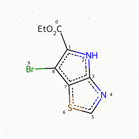 CCOC(=O)c1[nH]c2ncsc2c1Br